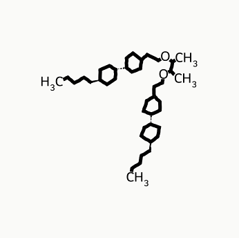 CCCCC[C@H]1CC[C@H](C2CCC(CCOC(C)C(C)OCCC3CCC([C@H]4CC[C@H](CCCCC)CC4)CC3)CC2)CC1